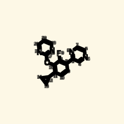 Fc1c(-c2cnccn2)ccc(C2CC2)c1Oc1ncccn1